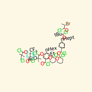 CC(=O)OC(C)(C)C(=O)Cl.CC(Br)C(=O)Cl.CC(C)(C)C(=O)Cl.CC(C)(CCl)C(=O)Cl.CC1(Cl)CCCCO1.CCC1(Cl)CCCCO1.CCCCCCCc1ccc(C(=O)Cl)cc1.CCCCCCc1ccc(C(=O)Cl)cc1.O=C(Cl)C(F)(F)C(F)(F)C(F)(F)F